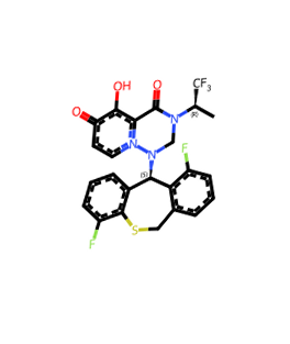 C[C@@H](N1CN([C@@H]2c3cccc(F)c3SCc3cccc(F)c32)n2ccc(=O)c(O)c2C1=O)C(F)(F)F